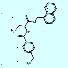 NCc1ccc(C(=O)N[C@@H](CN)C(=O)NCc2cccc3ccccc23)cc1